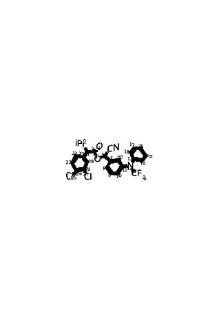 CC(C)C(C(=O)OC(C#N)c1cccc(N(c2ccccc2)C(F)(F)F)c1)c1ccc(Cl)c(Cl)c1